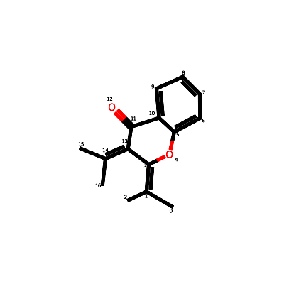 CC(C)=c1oc2ccccc2c(=O)c1=C(C)C